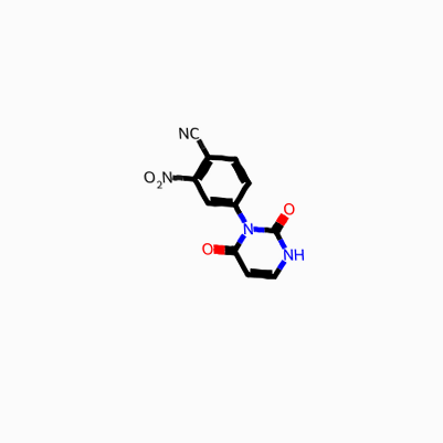 N#Cc1ccc(-n2c(=O)cc[nH]c2=O)cc1[N+](=O)[O-]